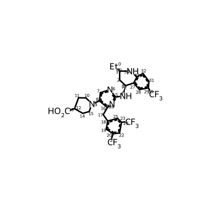 CC[C@@H]1C[C@H](Nc2ncc(N3CCC(C(=O)O)CC3)c(Cc3cc(C(F)(F)F)cc(C(F)(F)F)c3)n2)c2cc(C(F)(F)F)ccc2N1